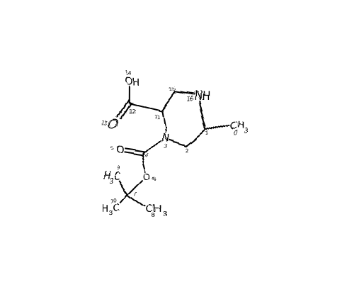 CC1CN(C(=O)OC(C)(C)C)C(C(=O)O)CN1